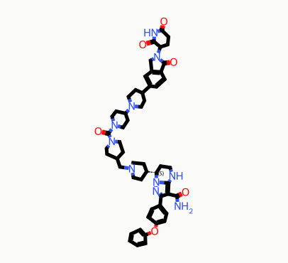 NC(=O)c1c(-c2ccc(Oc3ccccc3)cc2)nn2c1NCC[C@H]2C1CCN(CC2CCN(C(=O)N3CCC(N4CCC(c5ccc6c(c5)CN(C5CCC(=O)NC5=O)C6=O)CC4)CC3)CC2)CC1